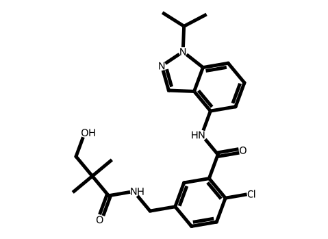 CC(C)n1ncc2c(NC(=O)c3cc(CNC(=O)C(C)(C)CO)ccc3Cl)cccc21